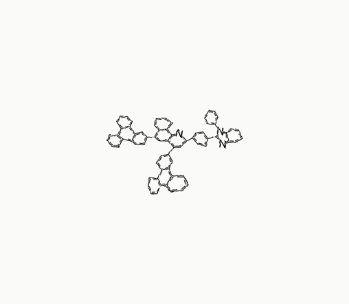 c1ccc(-n2c(-c3ccc(-c4cc(-c5ccc6c7ccccc7c7ccccc7c6c5)c5cc(-c6ccc7c8ccccc8c8ccccc8c7c6)c6ccccc6c5n4)cc3)nc3ccccc32)cc1